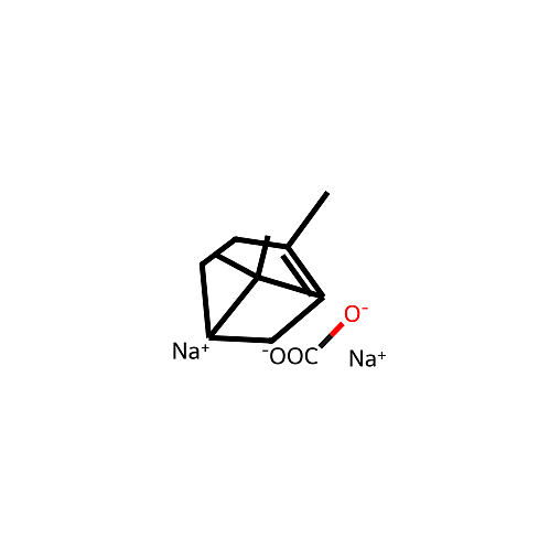 CC1=C2CC(CC1)C2(C)C.O=C([O-])[O-].[Na+].[Na+]